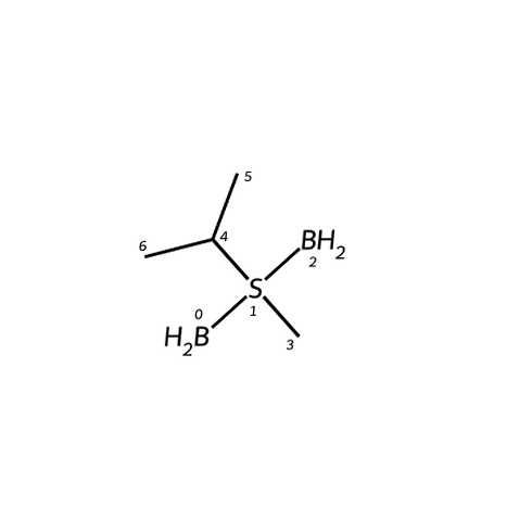 BS(B)(C)C(C)C